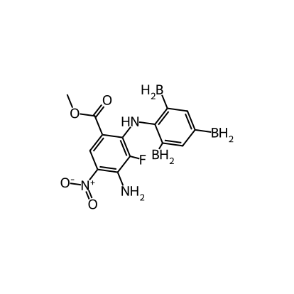 Bc1cc(B)c(Nc2c(C(=O)OC)cc([N+](=O)[O-])c(N)c2F)c(B)c1